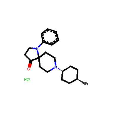 CC(C)[C@H]1CC[C@H](N2CCC3(CC2)C(=O)CCN3c2ccccc2)CC1.Cl